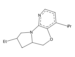 CCC1CC2COc3c(C(C)C)ccnc3N2C1